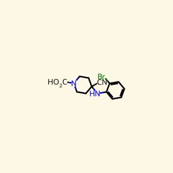 N#CC1(Nc2ccccc2Br)CCN(C(=O)O)CC1